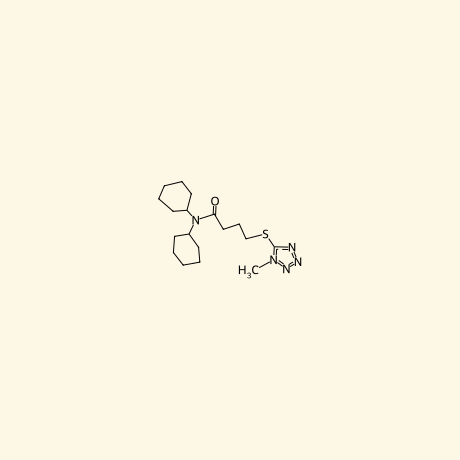 Cn1nnnc1SCCCC(=O)N(C1CCCCC1)C1CCCCC1